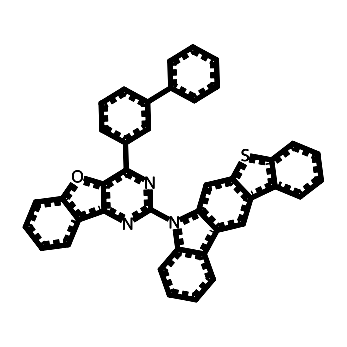 c1ccc(-c2cccc(-c3nc(-n4c5ccccc5c5cc6c(cc54)sc4ccccc46)nc4c3oc3ccccc34)c2)cc1